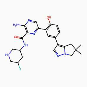 CC1(C)Cc2c(-c3ccc(O)c(-c4cnc(N)c(C(=O)NC5CNCC(F)C5)n4)c3)cnn2C1